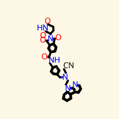 N#CCCN(CCn1c2ccccc2c2cccnc21)Cc1ccc(CNC(=O)c2ccc3c(c2)C(=O)N(C2CCC(=O)NC2=O)C3=O)cc1